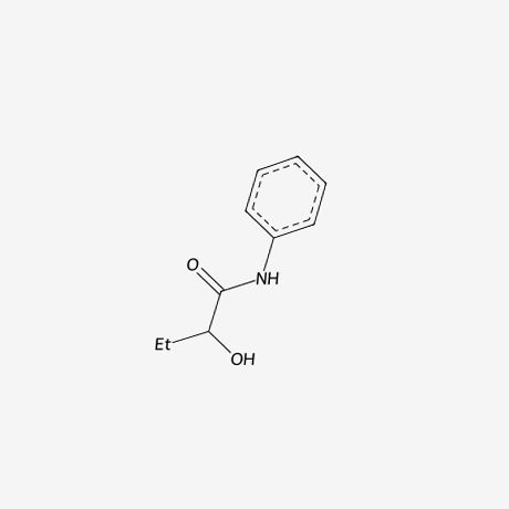 [CH2]CC(O)C(=O)Nc1ccccc1